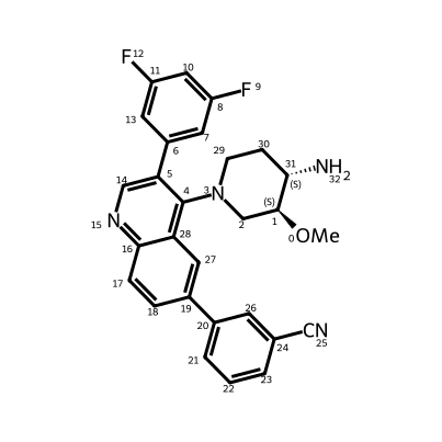 CO[C@H]1CN(c2c(-c3cc(F)cc(F)c3)cnc3ccc(-c4cccc(C#N)c4)cc23)CC[C@@H]1N